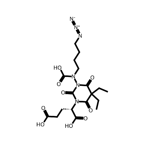 CCC1(CC)C(=O)N([C@@H](CCC(=O)O)C(=O)O)C(=O)N(N(CCCCN=[N+]=[N-])C(=O)O)C1=O